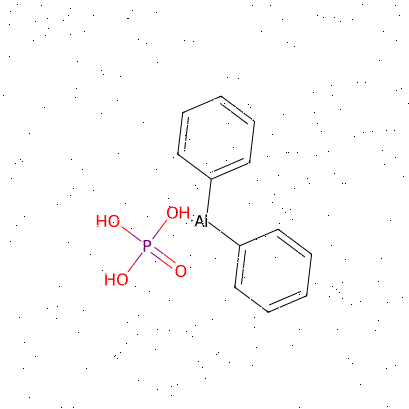 O=P(O)(O)O.c1cc[c]([Al][c]2ccccc2)cc1